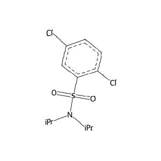 CC(C)N(C(C)C)S(=O)(=O)c1cc(Cl)ccc1Cl